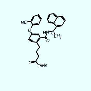 COC(=O)CCCc1ccc(Oc2ccccc2C#N)cc1C(=O)N[C@H](C)c1cccc2ccccc12